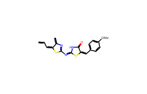 C=C/C=c1/sc(/N=C2\NC(=O)/C(=C\c3ccc(OC)cc3)S2)nc1=C